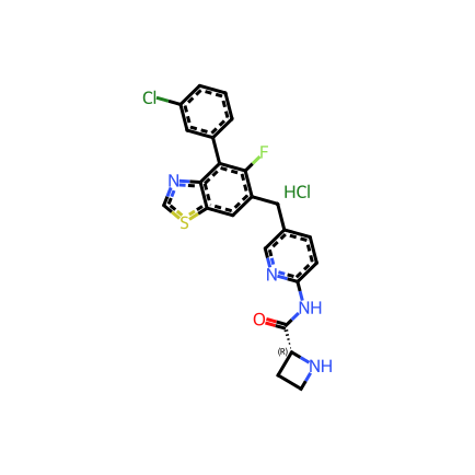 Cl.O=C(Nc1ccc(Cc2cc3scnc3c(-c3cccc(Cl)c3)c2F)cn1)[C@H]1CCN1